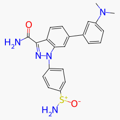 CN(C)c1cccc(-c2ccc3c(C(N)=O)nn(-c4ccc([S+](N)[O-])cc4)c3c2)c1